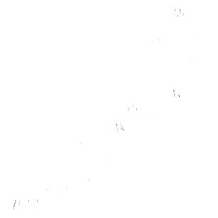 CSc1ccc(-c2ccc(C)n2CCO/N=C(\C)c2ccc(OCC(=O)O)c(C)c2)cc1